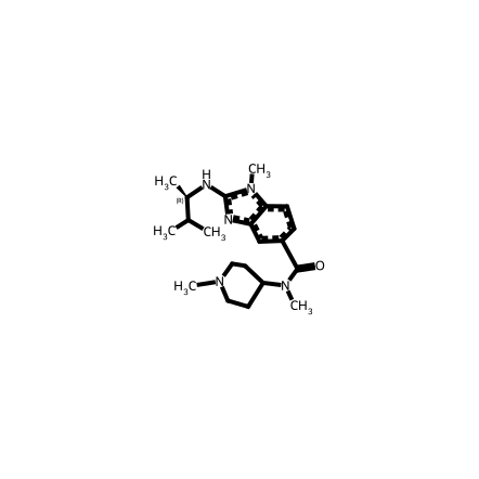 CC(C)[C@@H](C)Nc1nc2cc(C(=O)N(C)C3CCN(C)CC3)ccc2n1C